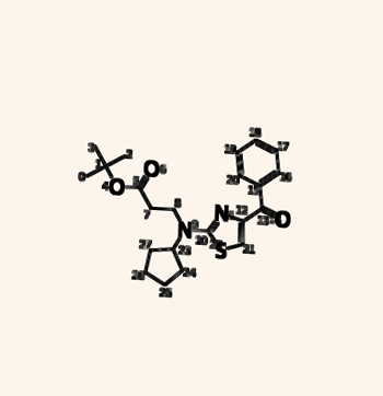 CC(C)(C)OC(=O)CCN(c1nc(C(=O)c2ccccc2)cs1)C1CCCC1